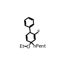 CCCCCC1(OCC)C=CC(c2ccccc2)C(F)=C1